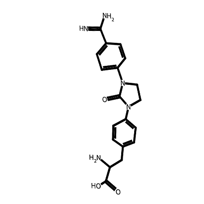 N=C(N)c1ccc(N2CCN(c3ccc(CC(N)C(=O)O)cc3)C2=O)cc1